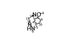 CNCc1ccc(OC)cc1.N#CCC#N